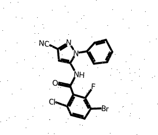 N#Cc1cc(NC(=O)c2c(Cl)ccc(Br)c2F)n(-c2ccccc2)n1